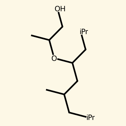 CC(C)CC(C)CC(CC(C)C)OC(C)CO